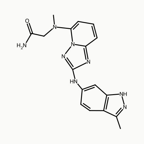 Cc1n[nH]c2cc(Nc3nc4cccc(N(C)CC(N)=O)n4n3)ccc12